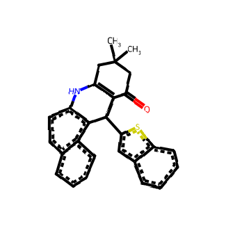 CC1(C)CC(=O)C2=C(C1)Nc1ccc3ccccc3c1C2c1cc2ccccc2s1